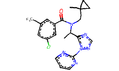 CC(c1ncnn1-c1ncccn1)N(CC1(C)CC1)C(=O)c1cc(Cl)cc(C(F)(F)F)c1